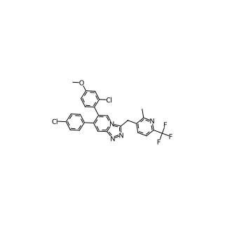 COc1ccc(-c2cn3c(Cc4ccc(C(F)(F)F)nc4C)nnc3cc2-c2ccc(Cl)cc2)c(Cl)c1